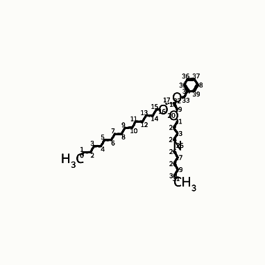 CCCCCCCCCCCCCCCCOC[C@@H](COCCCC=NCCCCCC)OCc1ccccc1